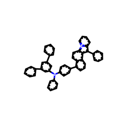 c1ccc(-c2cc(-c3ccccc3)cc(N(c3ccccc3)c3ccc(-c4cccc5c4ccc4c5c(-c5ccccc5)c5ccccn54)cc3)c2)cc1